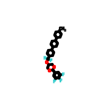 CC1CCC(C2CCC(C3CCC(C(F)(F)OC4COC(c5cc(F)c(F)c(F)c5)OC4)CC3)CC2)CC1